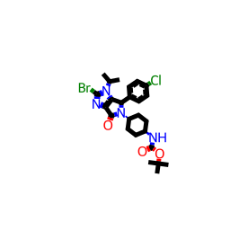 CC(C)n1c(Br)nc2c1C(c1ccc(Cl)cc1)N([C@H]1CC[C@H](NC(=O)OC(C)(C)C)CC1)C2=O